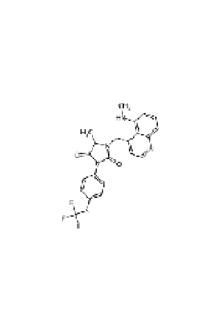 CNc1cccc2nccc(CN3C(=O)N(c4ccc(SC(F)(F)F)cc4)C(=O)C3C)c12